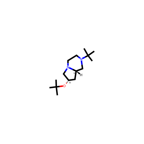 CC(C)(C)O[C@H]1C[C@H]2CN(C(C)(C)C)CCN2C1